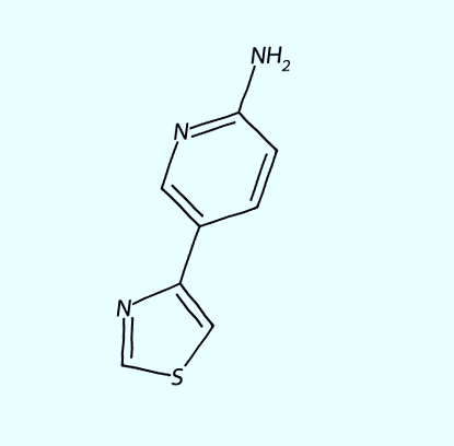 Nc1ccc(-c2cscn2)cn1